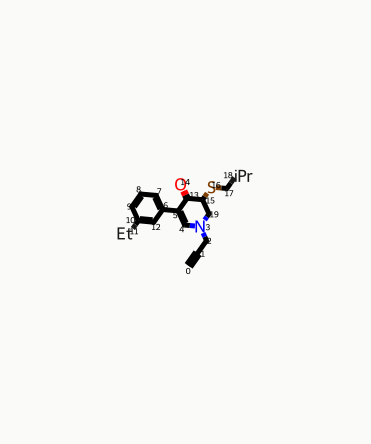 C#CCN1C=C(c2cccc(CC)c2)C(=O)C(SCC(C)C)C1